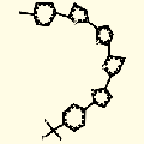 Cc1ccc(-c2ccc(-c3ccc(-c4ccc(-c5ccc(-c6ccc(C(F)(F)F)cc6)s5)s4)s3)s2)cc1